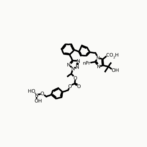 CCCc1nc(C(C)(C)O)c(C(=O)O)n1Cc1ccc(-c2ccccc2-c2nnn(C(C)OC(=O)OCc3ccc(CON(O)O)cc3)n2)cc1